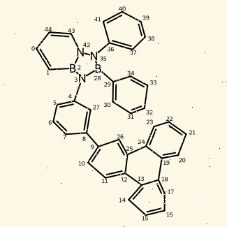 C1=CB2N(c3cccc(-c4ccc5c6ccccc6c6ccccc6c5c4)c3)B(c3ccccc3)N(c3ccccc3)N2C=C1